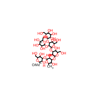 CO[C@@H]1OC(CO)[C@@H](O)C(O[C@@H]2OC(C)[C@H](O)C(O[C@@H]3OC(CO)[C@@H](O)C(O[C@@H]4OC(CO)[C@@H](O)C(O[C@@H]5OC(CO)[C@@H](O)C(O)C5O)C4O[C@H]4OC(CO)[C@@H](O)C(O)C4O)C3O)C2O)C1O